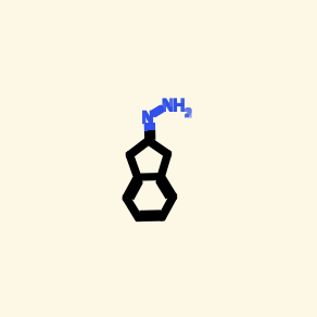 NN=C1Cc2ccccc2C1